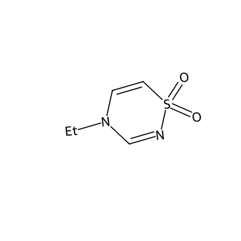 CCN1C=CS(=O)(=O)N=C1